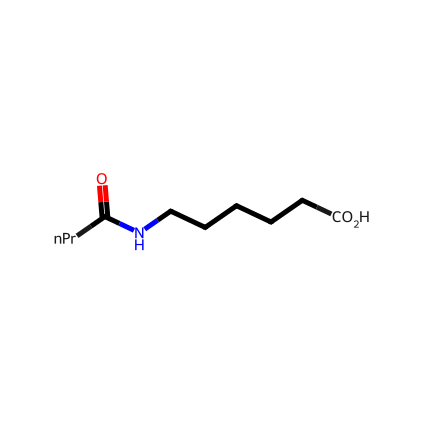 CCCC(=O)NCCCCCC(=O)O